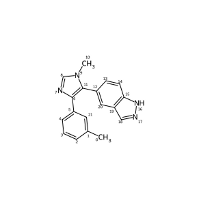 Cc1cccc(-c2ncn(C)c2-c2ccc3[nH]ncc3c2)c1